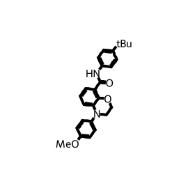 COc1ccc(N2CCOc3c(C(=O)Nc4ccc(C(C)(C)C)cc4)cccc32)cc1